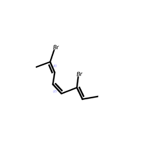 CC=C(Br)/C=C\C=C(/C)Br